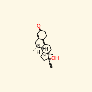 C#C[C@]1(O)CC[C@H]2[C@H]3C(=C4CCC(=O)C=C4C[C@H]3C)CC[C@@]21C